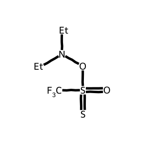 CCN(CC)OS(=O)(=S)C(F)(F)F